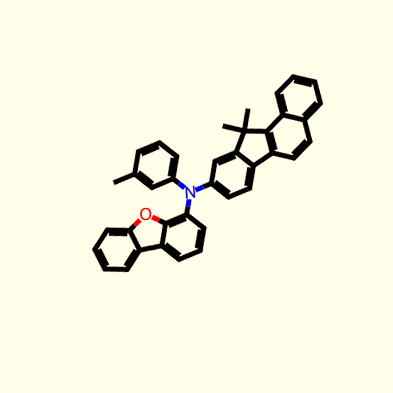 Cc1cccc(N(c2ccc3c(c2)C(C)(C)c2c-3ccc3ccccc23)c2cccc3c2oc2ccccc23)c1